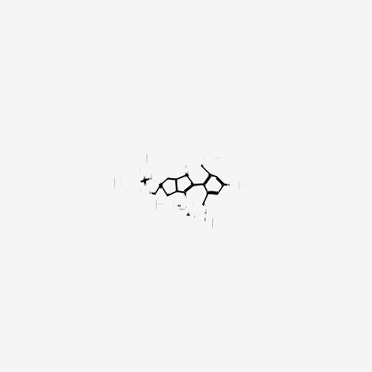 CCc1cc(C)cc(CC)c1C1=C(OP(C)(O)=S)C2CC3(COC(C)(C)O3)CC2C1=O